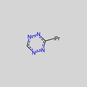 CC(C)c1nncnn1